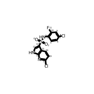 O=S(=O)(Nc1ccc(Cl)cc1F)c1c[nH]c2nc(Cl)ccc12